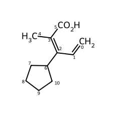 C=CC(=C(C)C(=O)O)C1CCCC1